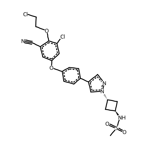 CS(=O)(=O)N[C@H]1C[C@H](n2cc(-c3ccc(Oc4cc(Cl)c(OCCCl)c(C#N)c4)cc3)cn2)C1